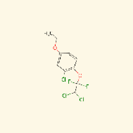 CCOc1ccc(OC(F)(F)C(Cl)Cl)c(Cl)c1